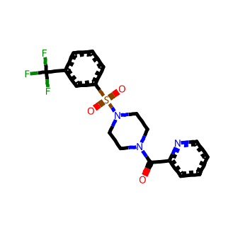 O=C(c1ccccn1)N1CCN(S(=O)(=O)c2cccc(C(F)(F)F)c2)CC1